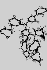 c1ccc(-c2ccc(N(c3cccc(-c4ccccc4)c3)c3cc(N(c4ccccc4)c4ccc(-c5ccccc5)cc4)c4c(c3)oc3cc5ccccc5cc34)cc2)cc1